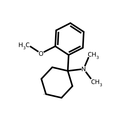 COc1ccccc1C1(N(C)C)CC[CH]CC1